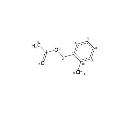 CC(=O)OCc1ccccc1C